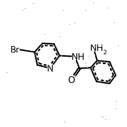 Nc1ccccc1C(=O)Nc1ccc(Br)cn1